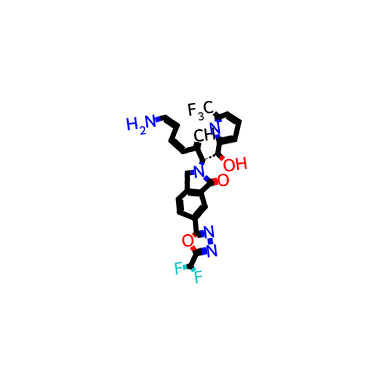 C=C(/C=C\C=C/N)[C@H](C(O)c1cccc(C(F)(F)F)n1)N1Cc2ccc(-c3nnc(C(F)F)o3)cc2C1=O